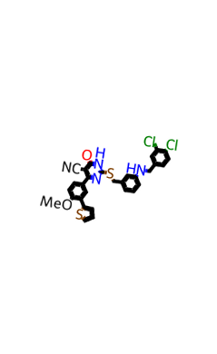 COc1ccc(-c2nc(SCc3cccc(NCc4ccc(Cl)c(Cl)c4)c3)[nH]c(=O)c2C#N)cc1-c1cccs1